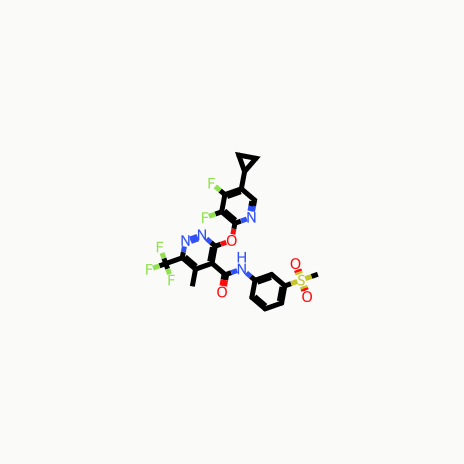 Cc1c(C(F)(F)F)nnc(Oc2ncc(C3CC3)c(F)c2F)c1C(=O)Nc1cccc(S(C)(=O)=O)c1